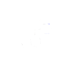 O=c1[nH]cnc2c3c(sc12)-c1ccccc1CC3